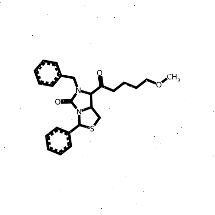 COCCCCC(=O)C1C2CSC(c3ccccc3)N2C(=O)N1Cc1ccccc1